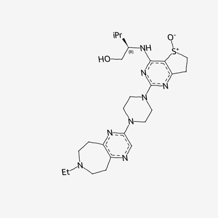 CCN1CCc2ncc(N3CCN(c4nc5c(c(N[C@@H](CO)C(C)C)n4)[S+]([O-])CC5)CC3)nc2CC1